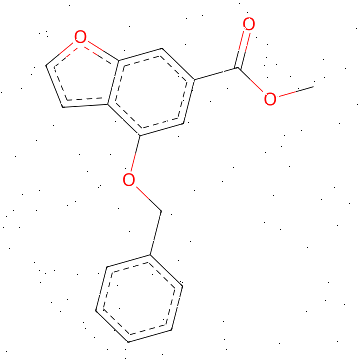 COC(=O)c1cc(OCc2ccccc2)c2ccoc2c1